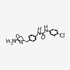 NC1=NC(Cc2ccc(NC(=O)Nc3ccc(Cl)cc3)cc2)CO1